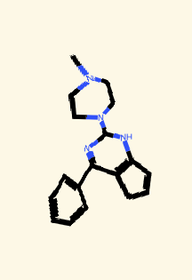 CN1CCN(C2N=C(c3ccccc3)C3=C(C=CC3)N2)CC1